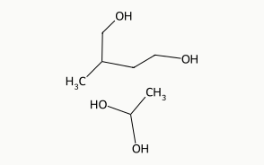 CC(CO)CCO.CC(O)O